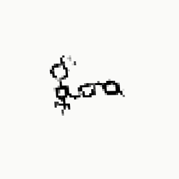 CN1CCCN(c2ccc(C(F)(F)F)c(CN3CCN(Cc4ccc(Cl)cc4)CC3)c2)CC1